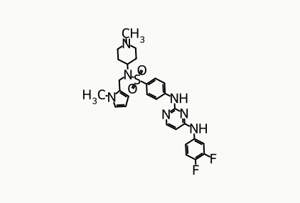 CN1CCC(N(Cc2cccn2C)S(=O)(=O)c2ccc(Nc3nccc(Nc4ccc(F)c(F)c4)n3)cc2)CC1